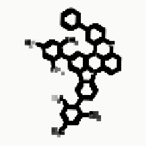 Cc1cc(C)c(-c2ccc3c(c2)c2cc(-c4c(C)cc(C)cc4C)cc4c2n3-c2cccc3c2B4c2cc(-c4ccccc4)ccc2O3)c(C)c1